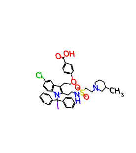 CC1CCCN(CCS(=O)(=O)NCCc2c(CCOc3ccc(C(=O)O)cc3)c3cc(Cl)ccc3n2C(I)(c2ccccc2)c2ccccc2)C1